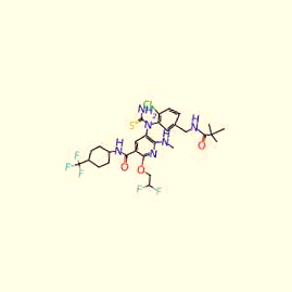 CNc1nc(OCC(F)F)c(C(=O)NC2CCC(C(F)(F)F)CC2)cc1N(C(N)=S)c1cc(CNC(=O)C(C)(C)C)ccc1Cl